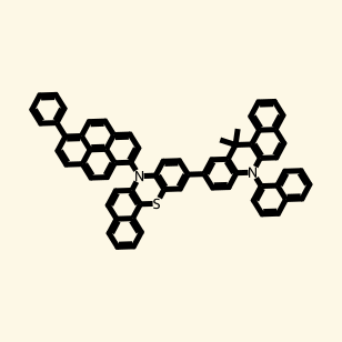 CC1(C)c2cc(-c3ccc4c(c3)Sc3c(ccc5ccccc35)N4c3ccc4ccc5c(-c6ccccc6)ccc6ccc3c4c65)ccc2N(c2cccc3ccccc23)c2ccc3ccccc3c21